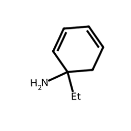 [CH2]CC1(N)C=CC=CC1